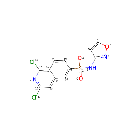 O=S(=O)(Nc1ccon1)c1ccc2c(Cl)nc(Cl)cc2c1